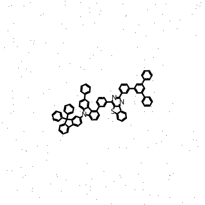 c1ccc(-c2cc(-c3ccccc3)cc(-c3cccc(-c4nc(-c5cccc(-c6cccc7c6c6cc(-c8ccccc8)ccc6n7-c6ccc7c(c6)C(c6ccccc6)(c6ccccc6)c6ccccc6-7)c5)c5sc6ccccc6c5n4)c3)c2)cc1